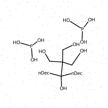 CCCCCCCCCCC(O)(CCCCCCCCCC)C(CO)(CO)CO.OP(O)O.OP(O)O